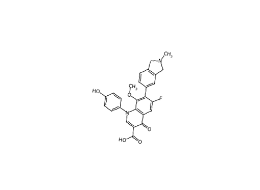 COc1c(-c2ccc3c(c2)CN(C)C3)c(F)cc2c(=O)c(C(=O)O)cn(-c3ccc(O)cc3)c12